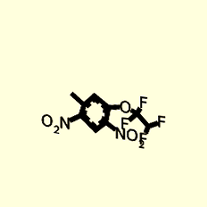 Cc1cc(OC(F)(F)C(F)F)c([N+](=O)[O-])cc1[N+](=O)[O-]